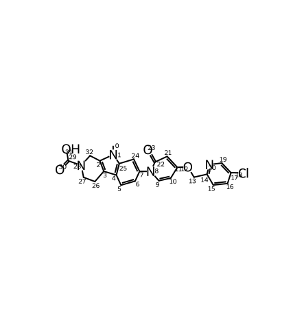 Cn1c2c(c3ccc(-n4ccc(OCc5ccc(Cl)cn5)cc4=O)cc31)CCN(C(=O)O)C2